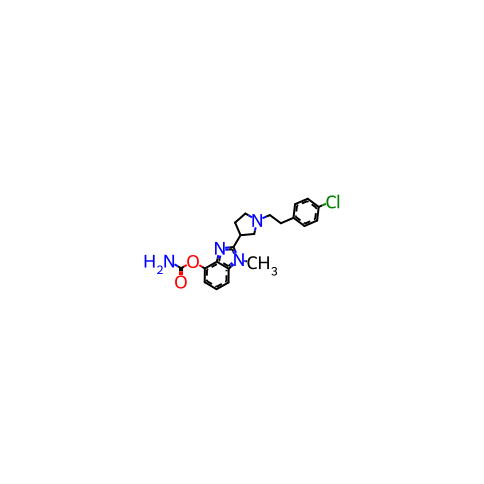 Cn1c(C2CCN(CCc3ccc(Cl)cc3)C2)nc2c(OC(N)=O)cccc21